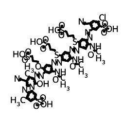 CC(=O)Nc1cc(N=Nc2cc(SCCCS(=O)(=O)O)c(N=Nc3cc(OCCCS(=O)(=O)O)c(N=Nc4c(C)c(C#N)c5nc6c(C)cc(S(=O)(=O)O)cc6n5c4O)cc3NC(C)=O)cc2NC(C)=O)c(SCCCS(=O)(=O)O)cc1N=Nc1cc(S(=O)(=O)O)c(Cl)cc1C#N